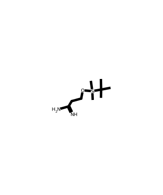 CC(C)(C)[Si](C)(C)OCCC(=N)N